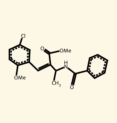 COC(=O)C(=Cc1cc(Cl)ccc1OC)C(C)NC(=O)c1ccccc1